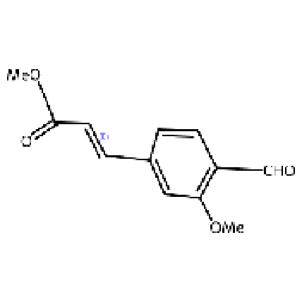 COC(=O)/C=C/c1ccc(C=O)c(OC)c1